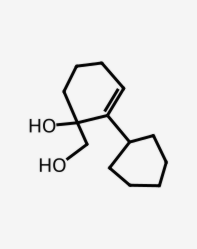 OCC1(O)CCCC=C1C1CCCCC1